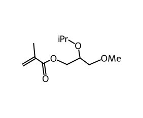 C=C(C)C(=O)OCC(COC)OC(C)C